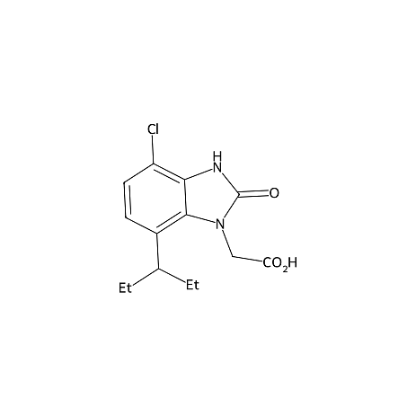 CCC(CC)c1ccc(Cl)c2[nH]c(=O)n(CC(=O)O)c12